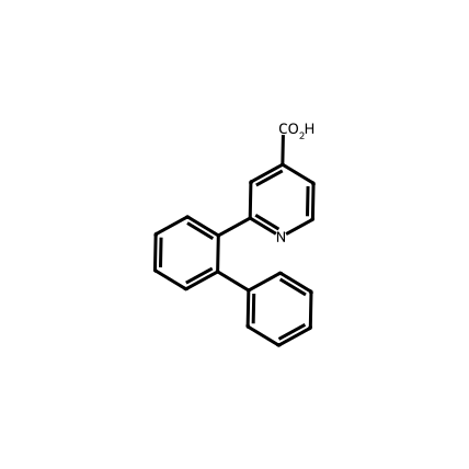 O=C(O)c1ccnc(-c2ccccc2-c2ccccc2)c1